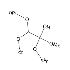 CCCOC(OCC)C(O)(OC)OCCC